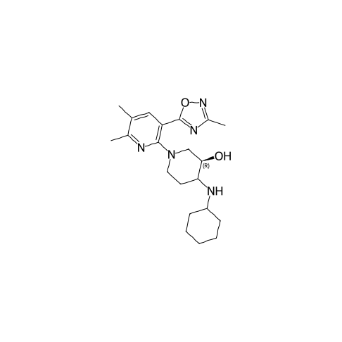 Cc1noc(-c2cc(C)c(C)nc2N2CCC(NC3CCCCC3)[C@H](O)C2)n1